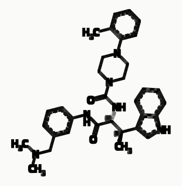 Cc1ccccc1N1CCN(C(=O)N[C@@H](C(=O)Nc2cccc(CN(C)C)c2)[C@H](C)c2c[nH]c3ccccc23)CC1